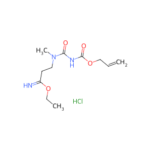 C=CCOC(=O)NC(=O)N(C)CCC(=N)OCC.Cl